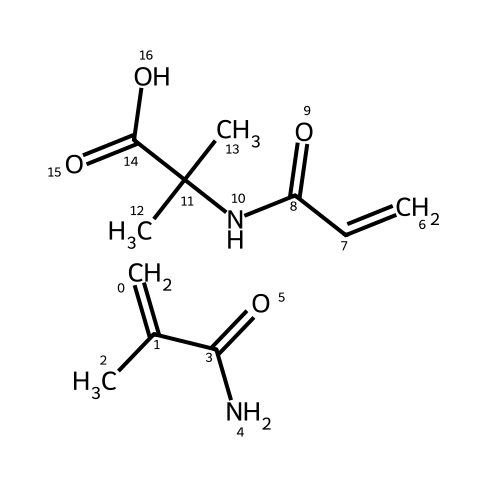 C=C(C)C(N)=O.C=CC(=O)NC(C)(C)C(=O)O